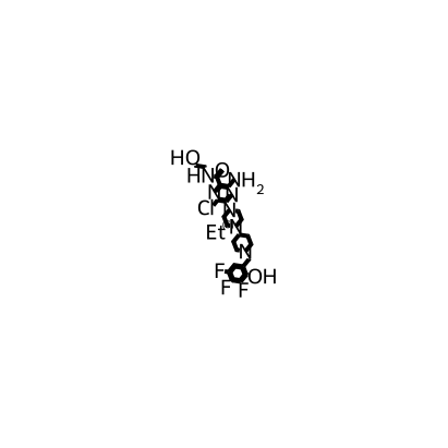 CC[C@H]1CN(c2nc(N)c(C(=O)NCCO)nc2Cl)CCN1C1CCN(Cc2cc(F)c(F)c(F)c2O)CC1